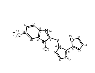 CCn1c(Cn2ccnc2-c2ccco2)nc2ccc(C(F)(F)F)cc21